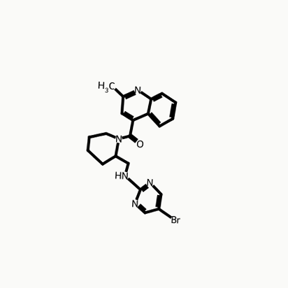 Cc1cc(C(=O)N2CCCCC2CNc2ncc(Br)cn2)c2ccccc2n1